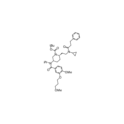 COCCCOc1cc(C(=O)N(C(C)C)C2CC[C@H](CCN(C(=O)CCc3ccccc3)C3CC3)N(C(=O)OC(C)(C)C)C2)ccc1OC